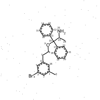 Cc1cc(Br)cc(CCOC(c2ccccc2)(c2ccccc2)C(C)N)c1